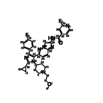 COCCN1CCC(n2c(C3CC3)nc(-c3ccc(F)cc3)c2-c2ccc3nc(NC(=O)c4ccnc(F)c4)cn3n2)CC1